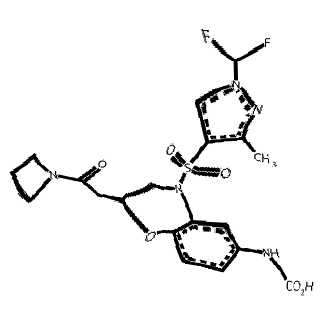 Cc1nn(C(F)F)cc1S(=O)(=O)N1CC(CC(=O)N2CCC2)Oc2ccc(NC(=O)O)cc21